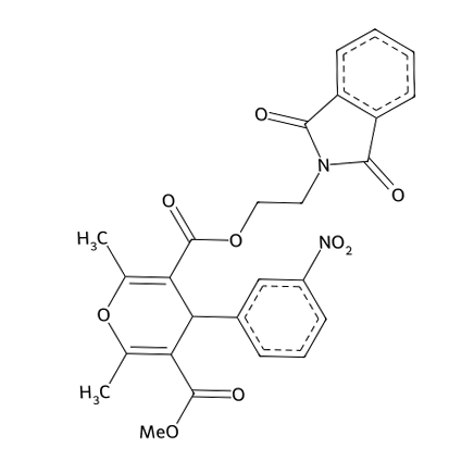 COC(=O)C1=C(C)OC(C)=C(C(=O)OCCN2C(=O)c3ccccc3C2=O)C1c1cccc([N+](=O)[O-])c1